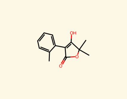 Cc1ccccc1C1=C(O)C(C)(C)OC1=O